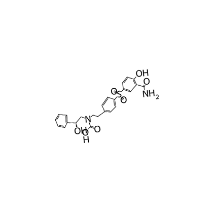 NC(=O)c1cc(S(=O)(=O)c2ccc(CCN(C[C@@H](O)c3ccccc3)C(=O)O)cc2)ccc1O